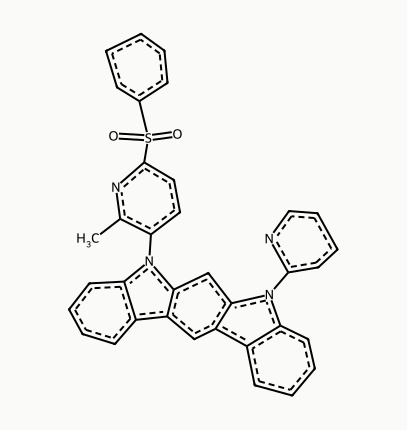 Cc1nc(S(=O)(=O)c2ccccc2)ccc1-n1c2ccccc2c2cc3c4ccccc4n(-c4ccccn4)c3cc21